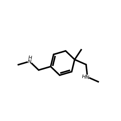 CNCC1=CCC(C)(CNC)C=C1